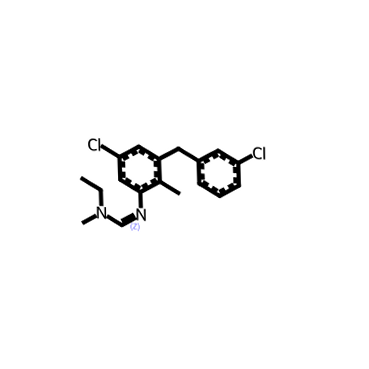 CCN(C)/C=N\c1cc(Cl)cc(Cc2cccc(Cl)c2)c1C